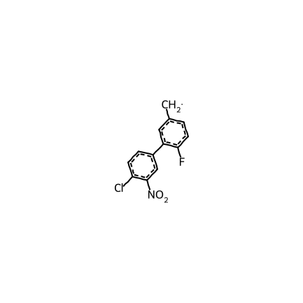 [CH2]c1ccc(F)c(-c2ccc(Cl)c([N+](=O)[O-])c2)c1